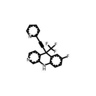 Fc1ccc2c(c1)C(C#Cc1ccccn1)(C(F)(F)F)c1ccncc1N2